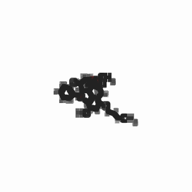 CCCCOc1cc(O)c2c3c1C[C@@H]1[C@@H]4CCC(=O)[C@](Cc5ccccc5)(O2)[C@]34CCN1C